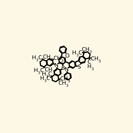 Cc1cc2c(cc1N1c3cc4c(cc3B3c5c1cc1c(oc6ccccc61)c5-c1cc5c(cc1N3c1ccccc1)sc1cc3c(cc15)C(C)(C)CCC3(C)C)C(C)(C)CCC4(C)C)C(C)(C)CCC2(C)C